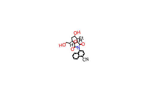 CC[C@@]12O[C@@](CCO)(C[C@H]1O)[C@@H]1C(=O)N(c3ccc(C#N)c4ccccc34)C(=O)[C@@H]12